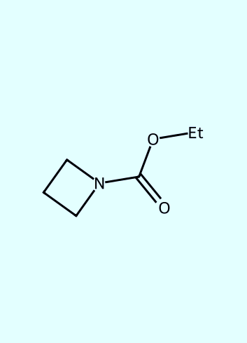 CCOC(=O)N1CCC1